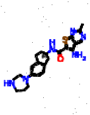 Cc1ncc2c(N)c(C(=O)N[C@@H]3CCc4cc(N5CCCNCC5)ccc4C3)sc2n1